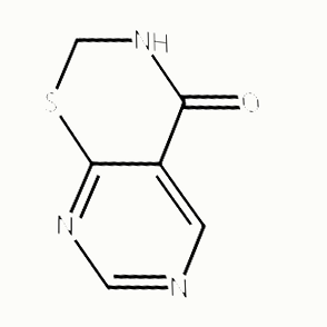 O=C1NCSc2ncncc21